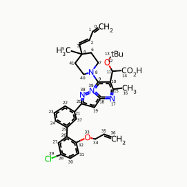 C=CC=CC1(C)CCN(c2c(C(OC(C)(C)C)C(=O)O)c(C)nc3cc(-c4cccc(-c5cc(Cl)ccc5OCC=C)c4)nn23)CC1